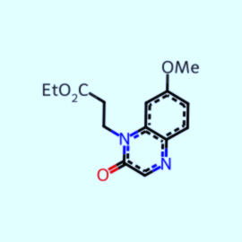 CCOC(=O)CCn1c(=O)cnc2ccc(OC)cc21